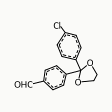 O=Cc1ccc(C2(c3ccc(Cl)cc3)OCCO2)cc1